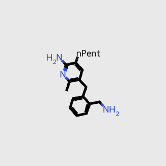 CCCCCc1cc(Cc2ccccc2CN)c(C)nc1N